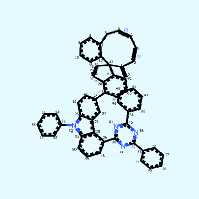 C=C1/C=C\C=C/Cc2ccccc2C12c1ccccc1-c1c(-c3ccc4c(c3)c3c(-c5nc(-c6ccccc6)nc(-c6ccccc6)n5)cccc3n4-c3ccccc3)cccc12